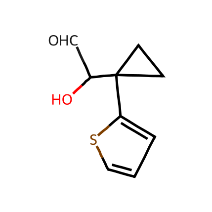 O=CC(O)C1(c2cccs2)CC1